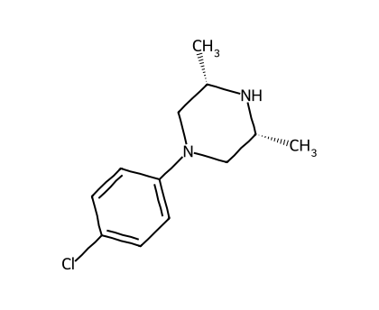 C[C@@H]1CN(c2ccc(Cl)cc2)C[C@H](C)N1